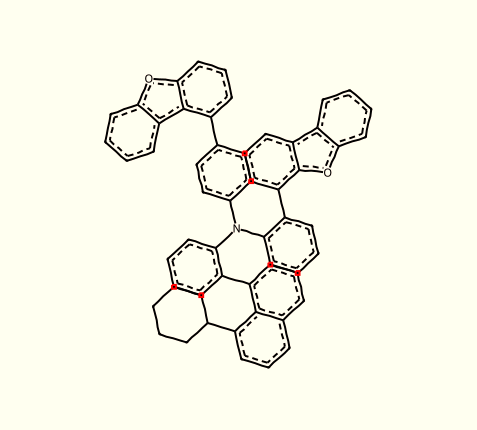 c1ccc(N(c2ccc(-c3cccc4oc5ccccc5c34)cc2)c2ccccc2-c2cccc3cccc(C4CCCCC4)c23)c(-c2cccc3c2oc2ccccc23)c1